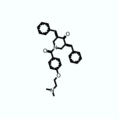 CN(C)CCOc1ccc(C(=O)N2C/C(=C\c3ccccc3)C(=O)/C(=C/c3ccccc3)C2)cc1